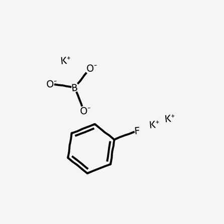 Fc1ccccc1.[K+].[K+].[K+].[O-]B([O-])[O-]